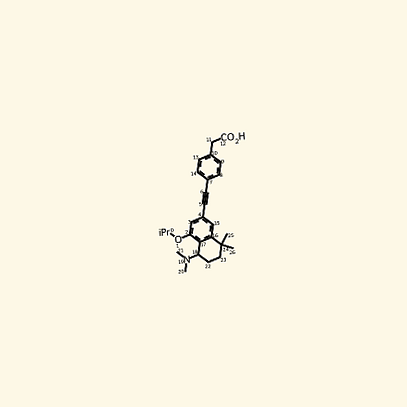 CC(C)Oc1cc(C#Cc2ccc(CC(=O)O)cc2)cc2c1C(N(C)C)CCC2(C)C